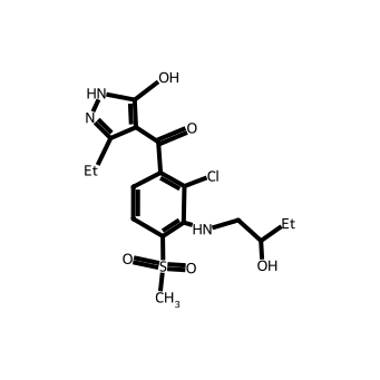 CCc1n[nH]c(O)c1C(=O)c1ccc(S(C)(=O)=O)c(NCC(O)CC)c1Cl